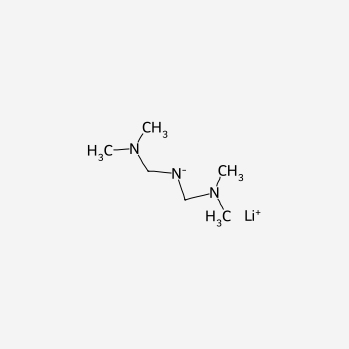 CN(C)C[N-]CN(C)C.[Li+]